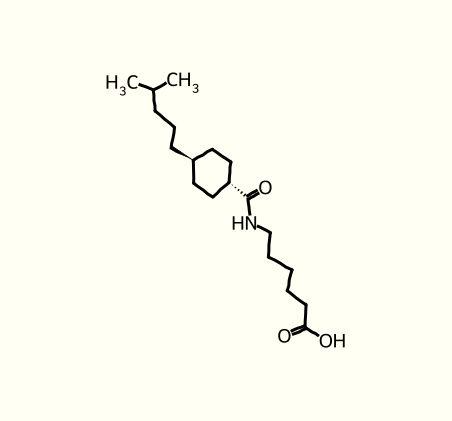 CC(C)CCC[C@H]1CC[C@H](C(=O)NCCCCCC(=O)O)CC1